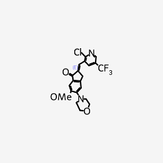 COc1cc2c(cc1N1CCOCC1)C/C(=C\c1cc(C(F)(F)F)cnc1Cl)C2=O